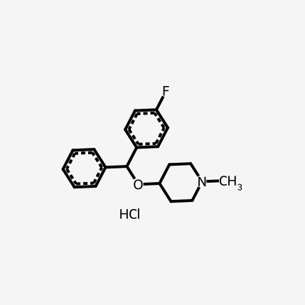 CN1CCC(OC(c2ccccc2)c2ccc(F)cc2)CC1.Cl